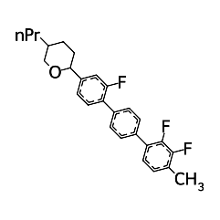 CCCC1CCC(c2ccc(-c3ccc(-c4ccc(C)c(F)c4F)cc3)c(F)c2)OC1